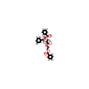 CO[C@@H](OCCOC(=O)c1ccccc1)C(COC(=O)c1ccccc1)OC(=O)c1ccccc1